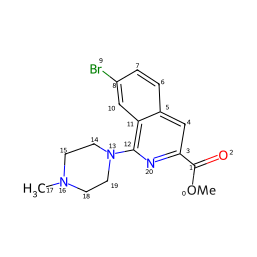 COC(=O)c1cc2ccc(Br)cc2c(N2CCN(C)CC2)n1